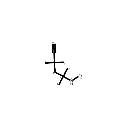 C#CC(C)(C)CC(C)(C)NCC